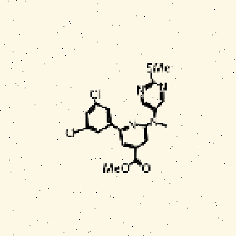 COC(=O)c1cc(-c2cc(Cl)cc(Cl)c2)nc(N(C)c2cnc(SC)nc2)c1